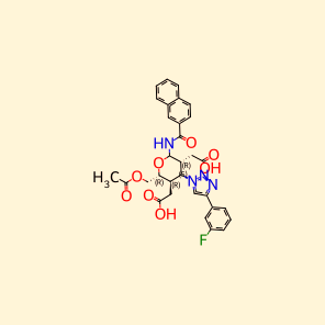 CC(=O)OC[C@@H]1OC(NC(=O)c2ccc3ccccc3c2)[C@H](CC(=O)O)[C@@H](n2cc(-c3cccc(F)c3)nn2)[C@H]1CC(=O)O